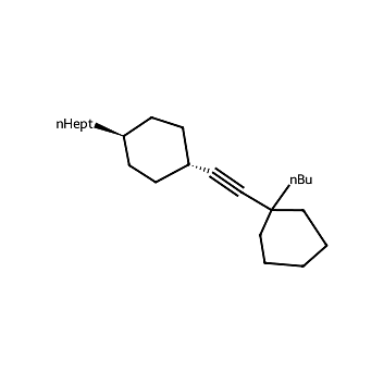 CCCCCCC[C@H]1CC[C@H](C#CC2(CCCC)CCCCC2)CC1